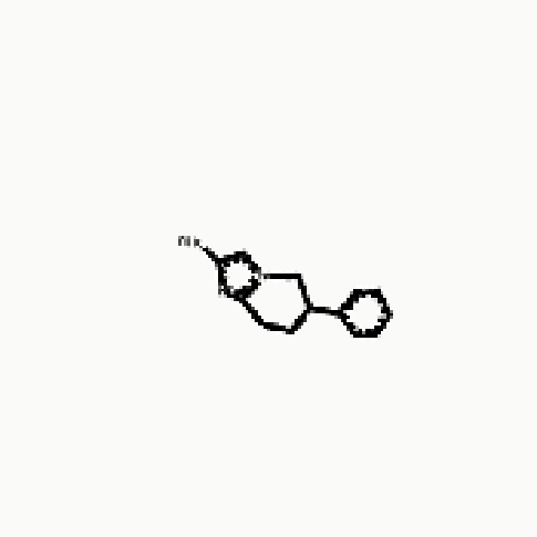 O=Cc1cn2c(n1)CCC(c1ccccc1)C2